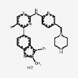 CC(C)c1c2cc(-c3nc(Nc4ccc(CN5CCNCC5)cn4)ncc3F)ccc2nn1C.Cl